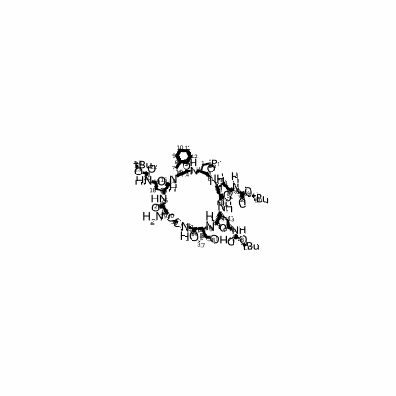 CC(C)C[C@@H]1NC(=O)[C@@H](Cc2ccccc2)NC(=O)[C@H](CCNC(=O)OC(C)(C)C)NC(=O)[C@@H](N)CCNC(=O)[C@H]([C@@H](C)O)NC(=O)[C@H](CCNC(=O)OC(C)(C)C)NC(=O)[C@H](CCNC(=O)OC(C)(C)C)NC1=O